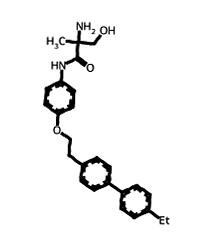 CCc1ccc(-c2ccc(CCOc3ccc(NC(=O)C(C)(N)CO)cc3)cc2)cc1